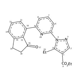 CCOC(=O)c1cnn(-c2cccc(-c3cccc4c3C(=O)CC4)n2)c1CC